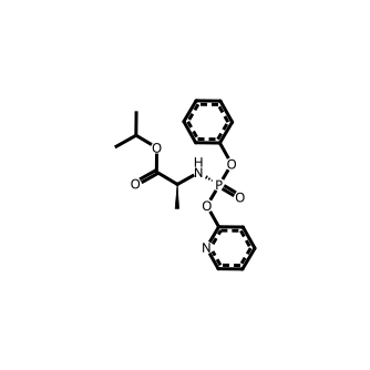 CC(C)OC(=O)[C@H](C)N[P@@](=O)(Oc1ccccc1)Oc1ccccn1